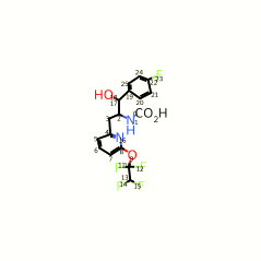 O=C(O)NC(Cc1cccc(OC(F)(F)C(F)F)n1)C(O)c1ccc(F)cc1